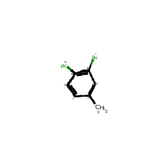 Cc1ccc(Br)c(Br)c1